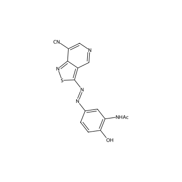 [C-]#[N+]c1cncc2c(/N=N/c3ccc(O)c(NC(C)=O)c3)snc12